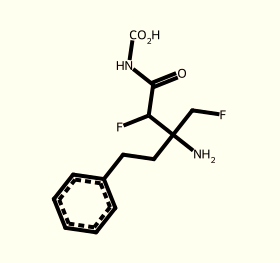 NC(CF)(CCc1ccccc1)C(F)C(=O)NC(=O)O